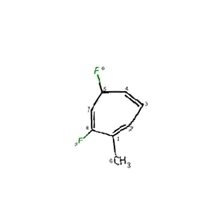 CC1=CC=CC(F)C=C1F